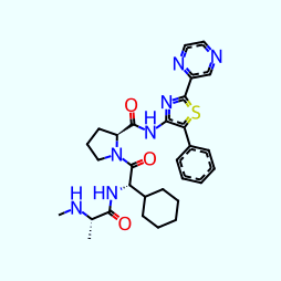 CN[C@@H](C)C(=O)N[C@H](C(=O)N1CCC[C@H]1C(=O)Nc1nc(-c2cnccn2)sc1-c1ccccc1)C1CCCCC1